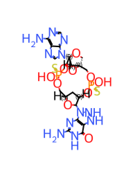 Nc1nc2c(c(=O)[nH]1)NNN2C1O[C@@H]2COP(O)(=S)O[C@@H]3[C@@]4(CO[C@]3(n3cnc5c(N)ncnc53)CO4)COP(O)(=S)O[C@@H]1C2